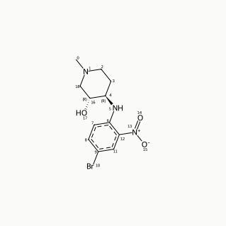 CN1CC[C@@H](Nc2ccc(Br)cc2[N+](=O)[O-])[C@H](O)C1